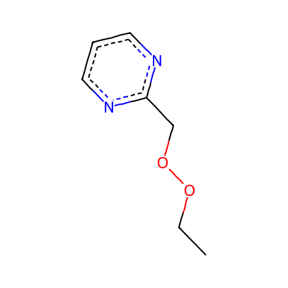 CCOOCc1ncccn1